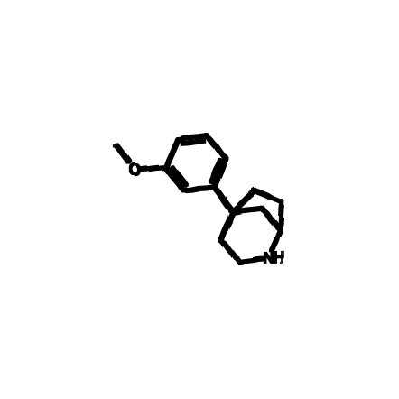 COc1cccc(C23CCNC(CC2)C3)c1